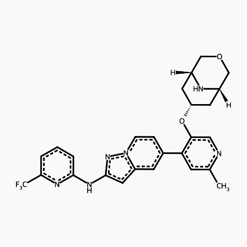 Cc1cc(-c2ccn3nc(Nc4cccc(C(F)(F)F)n4)cc3c2)c(O[C@H]2C[C@H]3COC[C@@H](C2)N3)cn1